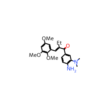 CC/C(=C\c1cc(OC)cc(OC)c1OC)C(=O)c1ccc(N)c(N(C)C)c1